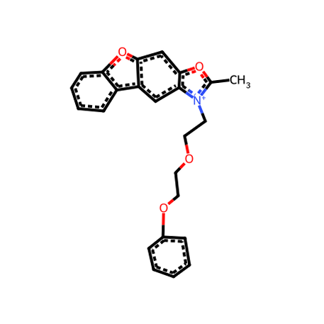 Cc1oc2cc3oc4ccccc4c3cc2[n+]1CCOCCOc1ccccc1